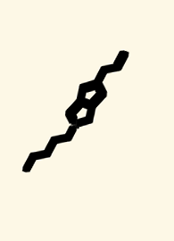 C=CCC1=CC2=CN(CCCCC)CC2=C1